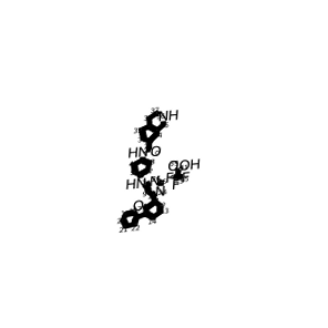 O=C(Nc1ccc(Nc2cc(-c3cccc4c3oc3ccccc34)ncn2)cc1)c1ccc2c(c1)CNCC2.O=C(O)C(F)(F)F